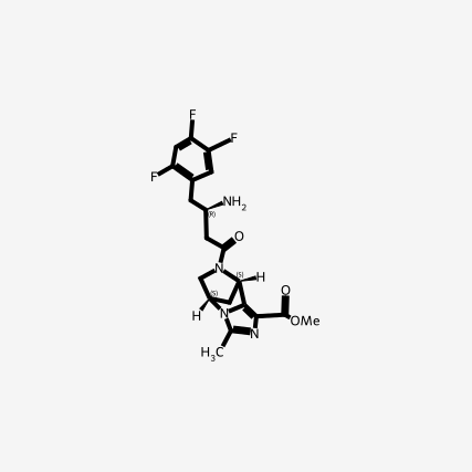 COC(=O)c1nc(C)n2c1[C@@H]1C[C@H]2CN1C(=O)C[C@H](N)Cc1cc(F)c(F)cc1F